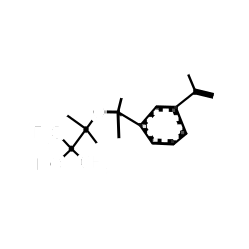 C=C(C)c1cccc(C(C)(C)OC(C)(C)C(O)(C(F)(F)F)C(F)(F)F)c1